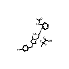 CC(=O)Nc1ccccc1OC[C@@H](O)CN1CC(Oc2ccc(Cl)cc2)CC1C.O=C(O)C(F)(F)F